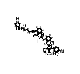 Nc1ncnc2c1c(-c1ccc(O)cc1)nn2Cc1c(Cl)cccc1Cc1nc2cccc(C#CCCCC(=O)NC3CCNC3)c2c(=O)[nH]1